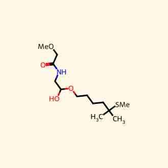 COCC(=O)NCC(O)OCCCCC(C)(C)SC